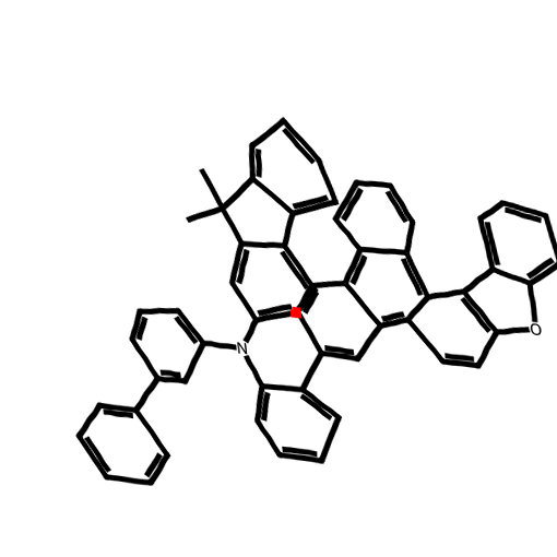 CC1(C)c2ccccc2-c2ccc(N(c3cccc(-c4ccccc4)c3)c3ccccc3-c3ccc4c5ccccc5c5c(ccc6oc7ccccc7c65)c4c3)cc21